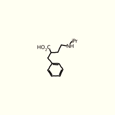 CC(C)NCCC(Cc1ccccc1)C(=O)O